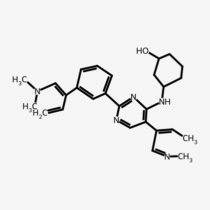 C=C/C(=C\N(C)C)c1cccc(-c2ncc(C(/C=N\C)=C/C)c(NC3CCCC(O)C3)n2)c1